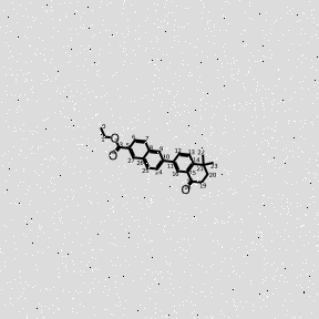 CCOC(=O)c1ccc2cc(-c3ccc4c(c3)C(=O)CCC4(C)C)ccc2c1